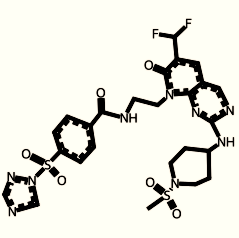 CS(=O)(=O)N1CCC(Nc2ncc3cc(C(F)F)c(=O)n(CCNC(=O)c4ccc(S(=O)(=O)n5cncn5)cc4)c3n2)CC1